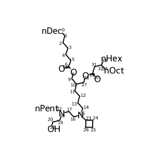 CCCCCCCCCCCCCCCC(=O)OCC(CCCCN(CCN(CCO)CCCCC)C1CCC1)COC(=O)CC(CCCCCC)CCCCCCCC